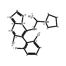 CC(Nc1c(-c2c(F)cccc2Cl)c(Cl)nc2ncnn12)[SiH]1CCCC1